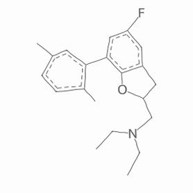 CCN(CC)CC1Cc2cc(F)cc(-c3cc(C)ccc3C)c2O1